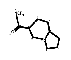 O=C(NC(F)(F)F)C1CCC2CCCN2C1